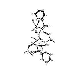 CN(C)C=C1C(C)(C(=O)C2(C)C(=CN(C)C)C2(C(=O)c2cccnc2)C(F)(F)F)C1(C(=O)c1cccnc1)C(F)(F)F